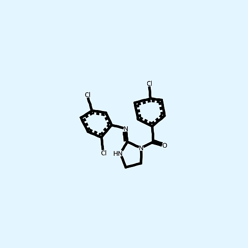 O=C(c1ccc(Cl)cc1)N1CCNC1=Nc1cc(Cl)ccc1Cl